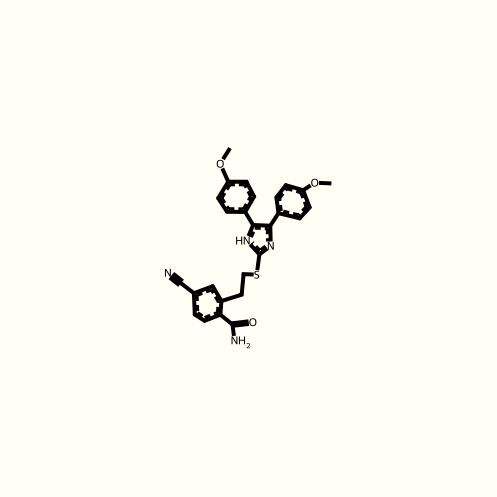 COc1ccc(-c2nc(SCCc3cc(C#N)ccc3C(N)=O)[nH]c2-c2ccc(OC)cc2)cc1